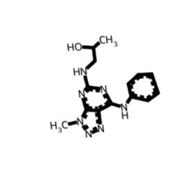 CC(O)CNc1nc(Nc2ccccc2)c2nnn(C)c2n1